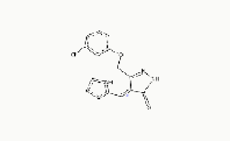 O=C1NN=C(COc2cccc(Cl)c2)/C1=C\c1ccc[nH]1